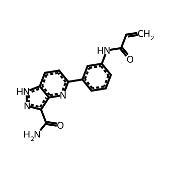 C=CC(=O)Nc1cccc(-c2ccc3[nH]nc(C(N)=O)c3n2)c1